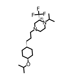 CC(C)O[C@H]1CC[C@H](CCCN2CCN(C(C)C)[C@@H](C(F)(F)F)C2)CC1